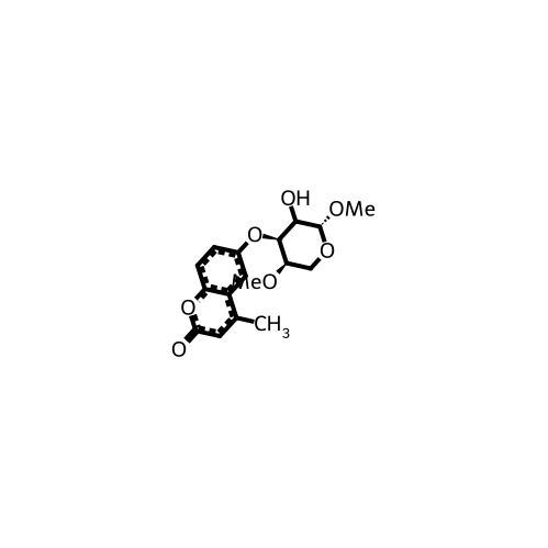 CO[C@@H]1OC[C@@H](OC)[C@@H](Oc2ccc3oc(=O)cc(C)c3c2)C1O